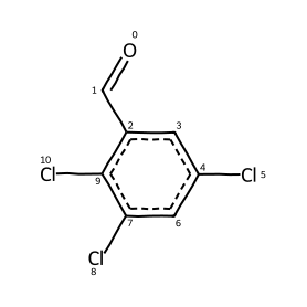 O=Cc1cc(Cl)cc(Cl)c1Cl